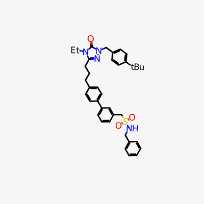 CCn1c(CCCc2ccc(-c3cccc(CS(=O)(=O)NCc4ccccc4)c3)cc2)nn(Cc2ccc(C(C)(C)C)cc2)c1=O